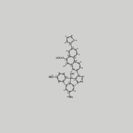 CCCCCCCCc1c(C)c2cc(-c3sccc3C(O)(c3ccc(C(C)(C)C)cc3)c3ccc(C(C)(C)C)cc3)ccc2c2ccc(-c3cccs3)cc12